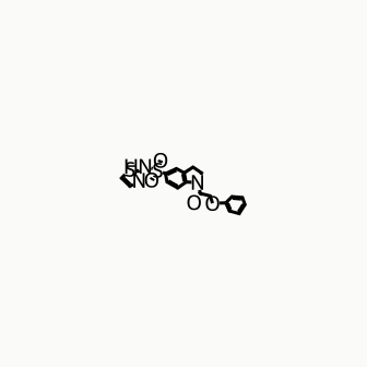 O=C(COc1ccccc1)N1CCc2cc(S(=O)(=O)Nc3nccs3)ccc21